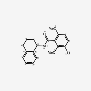 COc1ccc(Cl)c(OC)c1C(=O)NC1CCCc2ccccc21